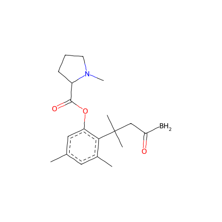 BC(=O)CC(C)(C)c1c(C)cc(C)cc1OC(=O)C1CCCN1C